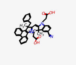 CC1(Cc2ccccc2)C(/C=C2/N(CCC(=O)O)c3ccc(C#N)cc3C2(C)C)=[N+](CCC(=O)O)c2c1c1ccccc1c1ccccc21